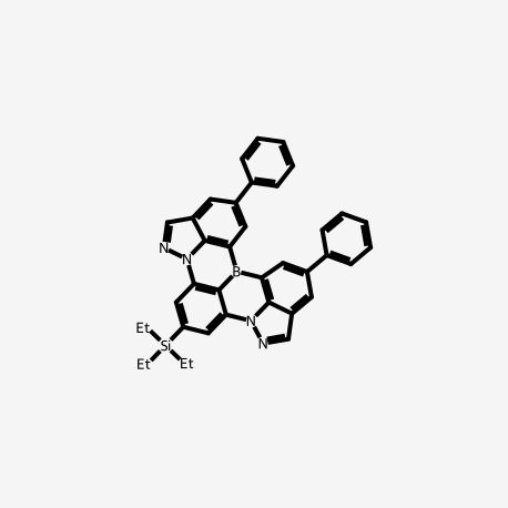 CC[Si](CC)(CC)c1cc2c3c(c1)-n1ncc4cc(-c5ccccc5)cc(c41)B3c1cc(-c3ccccc3)cc3cnn-2c13